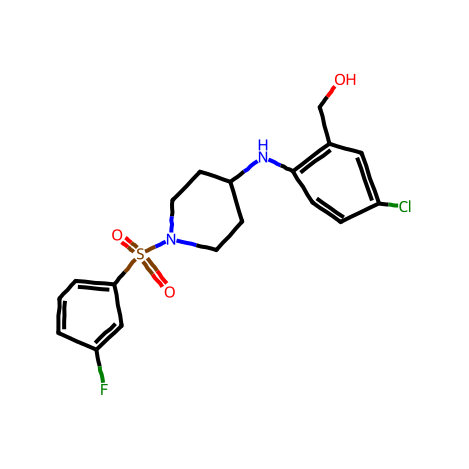 O=S(=O)(c1cccc(F)c1)N1CCC(Nc2ccc(Cl)cc2CO)CC1